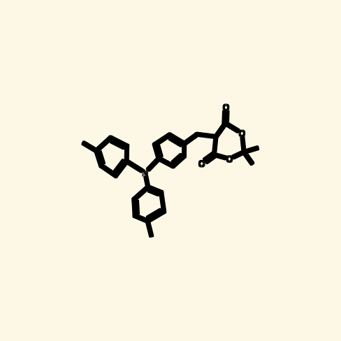 Cc1ccc(N(c2ccc(C)cc2)c2ccc(CC3C(=O)OC(C)(C)OC3=O)cc2)cc1